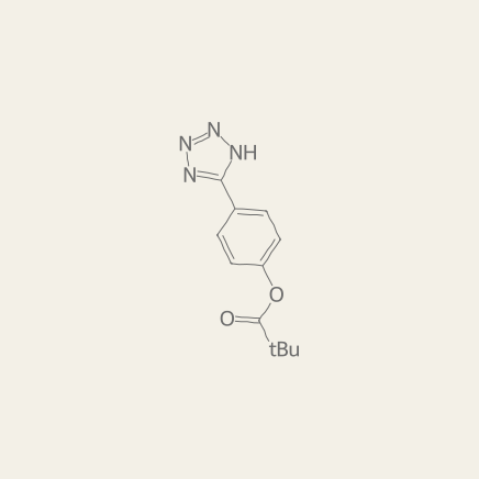 CC(C)(C)C(=O)Oc1ccc(-c2nnn[nH]2)cc1